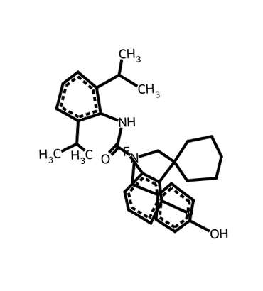 CC(C)c1cccc(C(C)C)c1NC(=O)N(Cc1ccc(O)cc1)CC1(c2c(F)cccc2F)CCCCC1